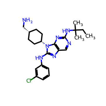 CCC(C)(C)Nc1ncc2nc(Nc3cccc(Cl)c3)n([C@H]3CC[C@@H](CN)CC3)c2n1